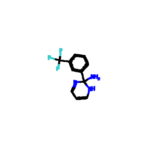 NC1(c2cccc(C(F)(F)F)c2)N=CC=CN1